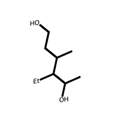 CCC(C(C)O)C(C)CCO